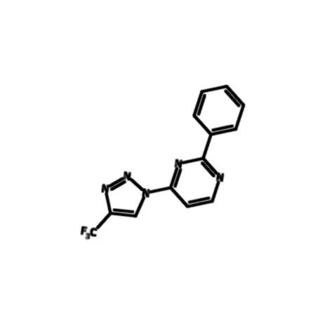 FC(F)(F)c1cn(-c2ccnc(-c3ccccc3)n2)nn1